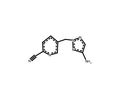 N#Cc1ccc(Cn2ncc(N)n2)cn1